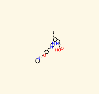 CCCCc1cc(N2CCN(CCc3ccc(OCCCN4CCCCCC4)cc3)CC2)c2nc(CCC(=O)O)ccc2c1